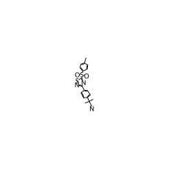 Cc1ccc(S(=O)(=O)c2nc(-c3ccc(C(C)(C)C#N)cc3)ns2)cc1